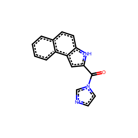 O=C(c1cc2c(ccc3ccccc32)[nH]1)n1ccnc1